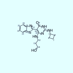 O=c1[nH]c(NC2CCC2)nc(NCCCO)c1-c1nc2ccccc2s1